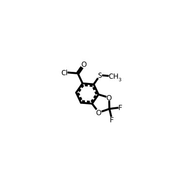 CSc1c(C(=O)Cl)ccc2c1OC(F)(F)O2